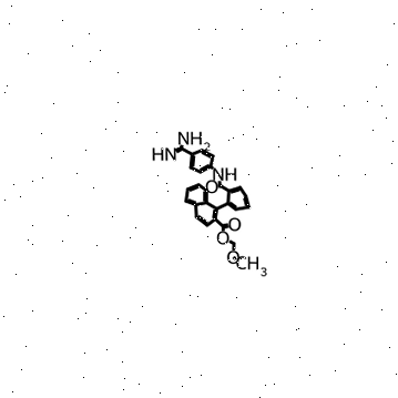 COCOC(=O)c1ccc2ccccc2c1-c1ccccc1C(=O)Nc1ccc(C(=N)N)cc1